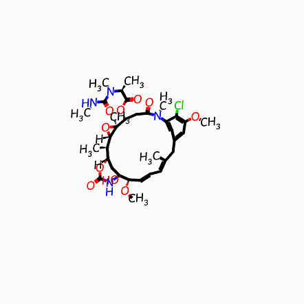 CNC(=O)N(C)[C@@H](C)C(=O)O[C@@H]1CC(=O)N(C)c2cc(cc(OC)c2Cl)C/C(C)=C/C=C/[C@@H](OC)[C@@]2(O)C[C@H](OC(=O)N2)[C@@H](C)[C@@H]2O[C@@]12C